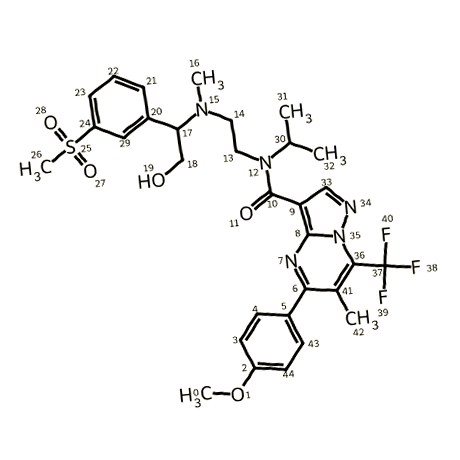 COc1ccc(-c2nc3c(C(=O)N(CCN(C)C(CO)c4cccc(S(C)(=O)=O)c4)C(C)C)cnn3c(C(F)(F)F)c2C)cc1